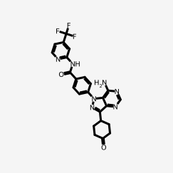 Nc1ncnc2c(C3CCC(=O)CC3)nn(-c3ccc(C(=O)Nc4cc(C(F)(F)F)ccn4)cc3)c12